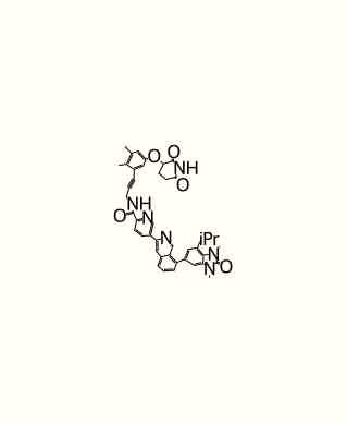 Cc1cc(OC2CCC(=O)NC2=O)cc(C#CCNC(=O)c2ccc(-c3cc4cccc(-c5cc(C(C)C)c6c(c5)n(C)c(=O)n6C)c4cn3)cn2)c1C